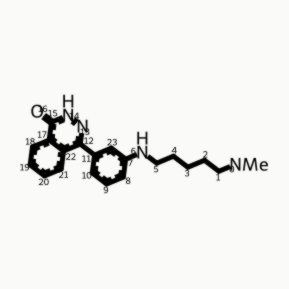 CNCCCCCNc1cccc(-c2n[nH]c(=O)c3ccccc23)c1